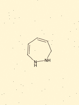 [C]1=CC=CNNC1